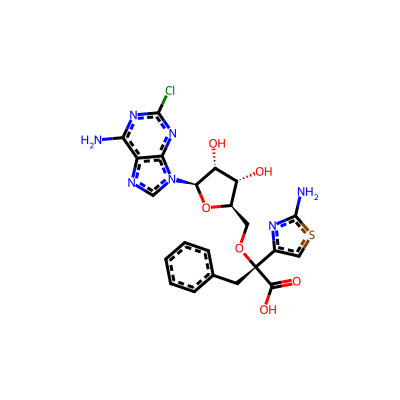 Nc1nc([C@@](Cc2ccccc2)(OC[C@H]2O[C@@H](n3cnc4c(N)nc(Cl)nc43)[C@H](O)[C@@H]2O)C(=O)O)cs1